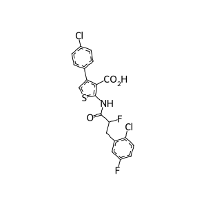 O=C(O)c1c(-c2ccc(Cl)cc2)csc1NC(=O)C(F)Cc1cc(F)ccc1Cl